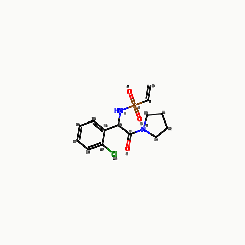 C=CS(=O)(=O)NC(C(=O)N1CCCC1)c1ccccc1Cl